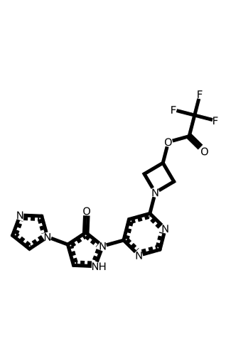 O=C(OC1CN(c2cc(-n3[nH]cc(-n4ccnc4)c3=O)ncn2)C1)C(F)(F)F